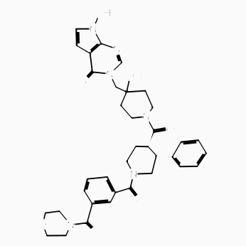 Cn1ccc2c(=O)n(CC3(O)CCN(C(=O)[C@@H]4CCN(C(=O)c5cccc(C(=O)N6CCOCC6)c5)C[C@H]4c4ccccc4)CC3)cnc21